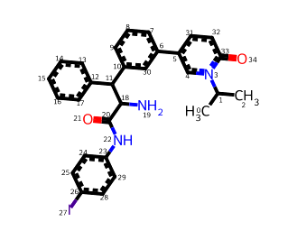 CC(C)n1cc(-c2cccc(C(c3ccccc3)C(N)C(=O)Nc3ccc(I)cc3)c2)ccc1=O